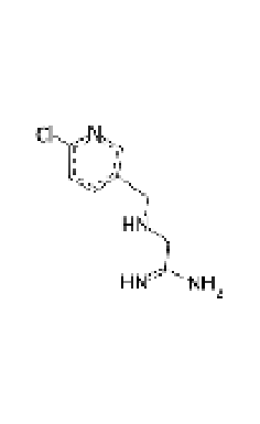 N=C(N)CNCc1ccc(Cl)nc1